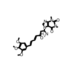 COc1cc(C=CC=CC(=O)CC(N)n2cnc3c2c(=O)n(C)c(=O)n3C)cc(OC)c1OC